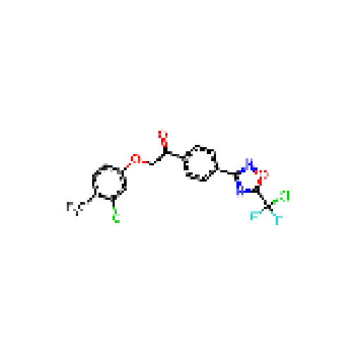 O=C(COc1ccc(C(F)(F)F)c(Cl)c1)c1ccc(-c2noc(C(F)(F)Cl)n2)cc1